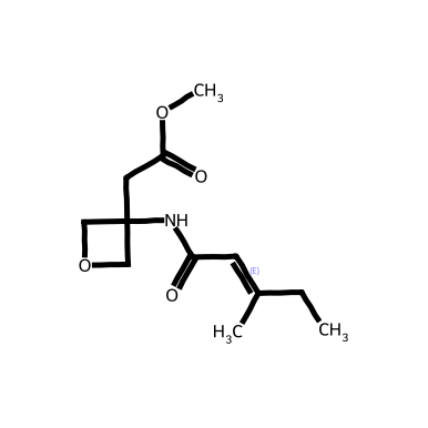 CC/C(C)=C/C(=O)NC1(CC(=O)OC)COC1